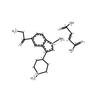 CCC(=O)c1ccc2c(c1)c(C1CCN(C)CC1)cn2N.O=C(O)/C=C/C(=O)O